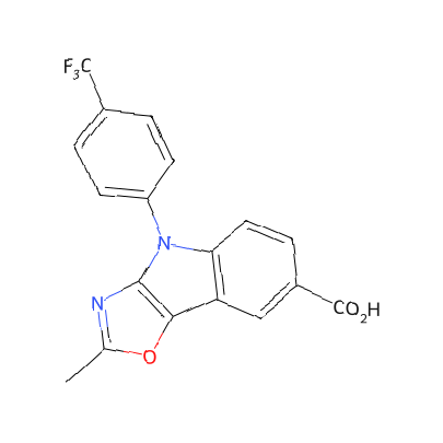 Cc1nc2c(o1)c1cc(C(=O)O)ccc1n2-c1ccc(C(F)(F)F)cc1